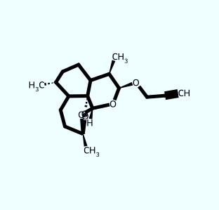 C#CCO[C@H]1O[C@@H]2O[C@@]3(C)CCC4[C@H](C)CCC([C@H]1C)[C@]42OO3